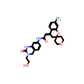 O=C(/C=C1\CC2(CCOCC2)Oc2cc(C(F)(F)F)ccc21)Nc1ccc2c(c1)NC(=O)N(CCO)C2